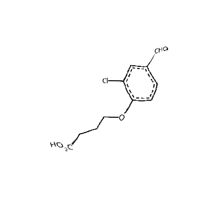 O=Cc1ccc(OCCCC(=O)O)c(Cl)c1